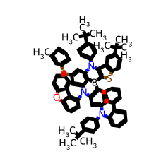 Cc1cccc(Sc2cc3c4c(c2)N(c2cccc5oc6ccccc6c25)c2cc(N(c5ccc(C(C)(C)C)cc5)c5ccccc5-c5ccccc5)ccc2B4c2sc4ccc(C(C)(C)C)cc4c2N3c2ccc(C(C)(C)C)cc2)c1